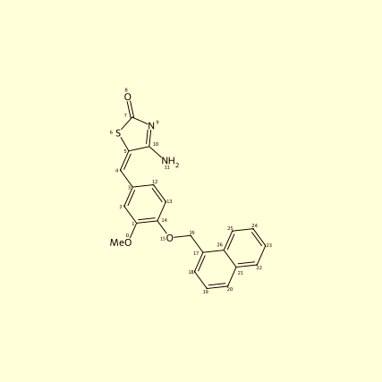 COc1cc(C=C2SC(=O)N=C2N)ccc1OCc1cccc2ccccc12